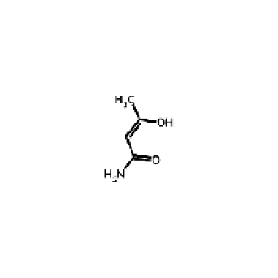 CC(O)=CC(N)=O